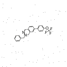 FC(F)(F)Oc1ccc(-c2ccc3c(c2)CN(Cc2ccccc2)N=C3)cc1